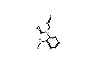 C=CCN(C=O)c1ccccc1SC